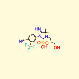 CC1(C)C(=N)N(c2ccc(C#N)c(C(F)(F)F)c2)C(S(=O)(=O)O)N1CCCO